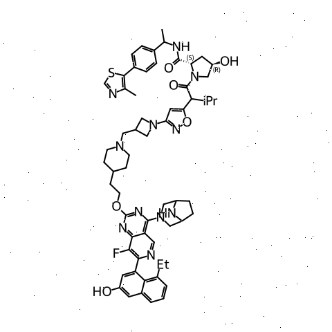 CCc1cccc2cc(O)cc(-c3ncc4c(N5CC6CCC(C5)N6)nc(OCCC5CCN(CC6CN(c7cc(C(C(=O)N8C[C@H](O)C[C@H]8C(=O)NC(C)c8ccc(-c9scnc9C)cc8)C(C)C)on7)C6)CC5)nc4c3F)c12